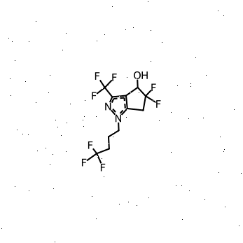 OC1c2c(C(F)(F)F)nn(CCCC(F)(F)F)c2CC1(F)F